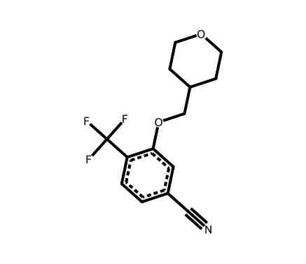 N#Cc1ccc(C(F)(F)F)c(OCC2CCOCC2)c1